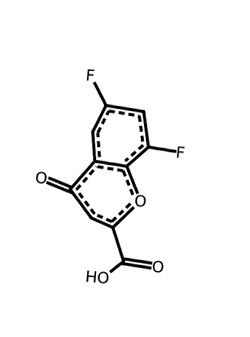 O=C(O)c1cc(=O)c2cc(F)cc(F)c2o1